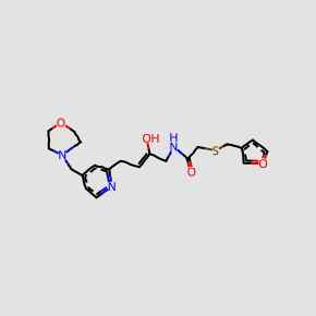 O=C(CSCc1ccoc1)NCC(O)=CCc1cc(CN2CCOCC2)ccn1